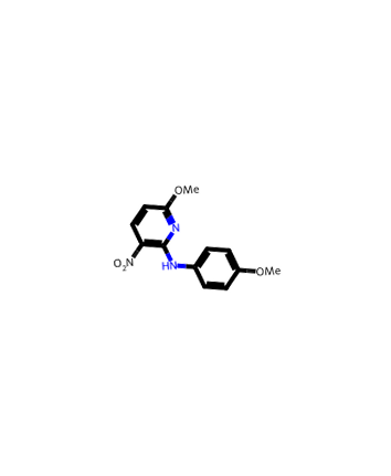 COc1ccc(Nc2nc(OC)ccc2[N+](=O)[O-])cc1